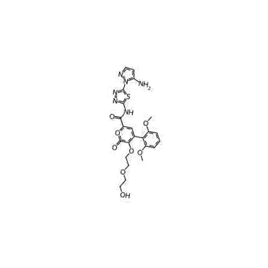 COc1cccc(OC)c1-c1cc(C(=O)Nc2nnc(-n3nccc3N)s2)oc(=O)c1OCCOCCO